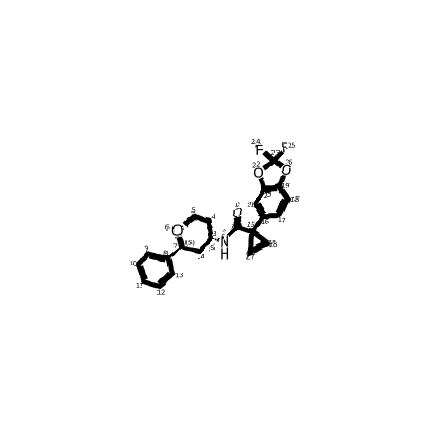 O=C(N[C@H]1CCO[C@H](c2ccccc2)C1)C1(c2ccc3c(c2)OC(F)(F)O3)CC1